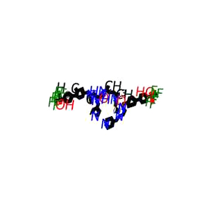 Cc1cc(CN2CCN(Cc3ccncc3)C(C(=O)NC(C)CCC(C)NC(=O)C[C@@H]3CN(Cc4ccncc4)CCN3Cc3ccc(-c4ccc(C(O)(C(F)(F)F)C(F)(F)F)cc4)cc3)C2)ccc1-c1ccc(C(O)(C(F)(F)F)C(F)(F)F)cc1